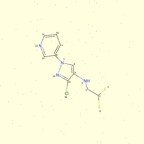 FC(F)CNc1cn(-c2cccnc2)nc1Cl